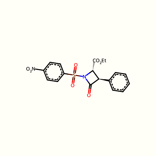 CCOC(=O)[C@@H]1[C@@H](c2ccccc2)C(=O)N1S(=O)(=O)c1ccc([N+](=O)[O-])cc1